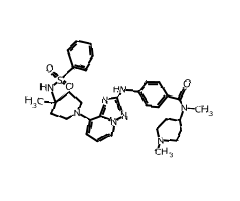 CN1CCC(N(C)C(=O)c2ccc(Nc3nc4c(N5CCC(C)(NS(=O)(=O)c6ccccc6)CC5)cccn4n3)cc2)CC1